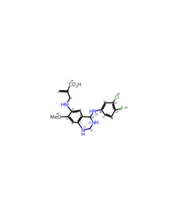 C=C(CNc1cc2c(cc1OC)NCNC2Nc1ccc(F)c(Cl)c1)C(=O)O